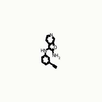 C#Cc1cccc(Nc2c(N)oc3cnccc23)c1